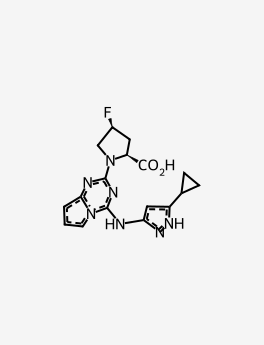 O=C(O)[C@@H]1C[C@H](F)CN1c1nc(Nc2cc(C3CC3)[nH]n2)n2cccc2n1